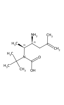 C=C(C)C[C@H](N)[C@H](C)N(C(=O)O)C(C)(C)C